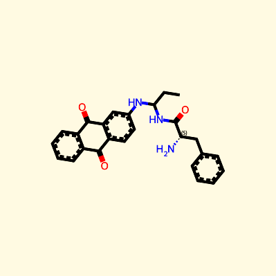 CCC(NC(=O)[C@@H](N)Cc1ccccc1)Nc1ccc2c(c1)C(=O)c1ccccc1C2=O